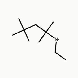 CC[N]C(C)(C)CC(C)(C)C